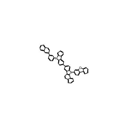 c1cc(-c2ccc3ccccc3c2)cc(-n2c3ccccc3c3cc(-c4ccc5c(c4)c4ccc6ccccc6c4n5-c4ccc5c(c4)oc4ccccc45)ccc32)c1